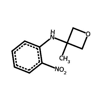 CC1(Nc2ccccc2[N+](=O)[O-])COC1